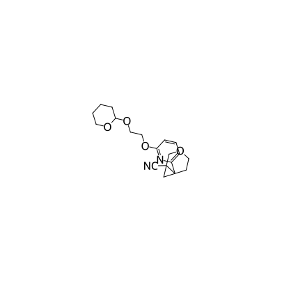 N#CC12COCCC1(c1cccc(OCCOC3CCCCO3)n1)C2